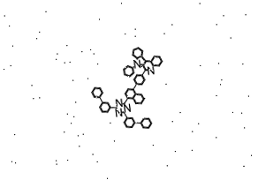 c1ccc(-c2cccc(-c3nc(-c4cccc(-c5ccccc5)c4)nc(-c4ccc(-c5ccc(-c6nc7ccccc7c7c8ccccc8n(-c8ccccc8)c67)cc5)c5ccccc45)n3)c2)cc1